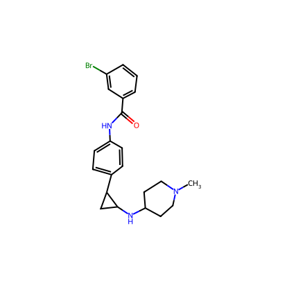 CN1CCC(NC2CC2c2ccc(NC(=O)c3cccc(Br)c3)cc2)CC1